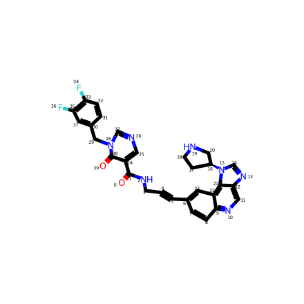 O=C(NCC#Cc1ccc2ncc3ncn([C@H]4CCNC4)c3c2c1)c1cncn(Cc2ccc(F)c(F)c2)c1=O